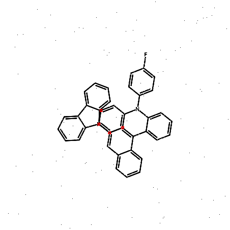 Fc1ccc(N(c2ccccc2)c2ccccc2-c2cc(-n3c4ccccc4c4ccccc43)cc3ccccc23)cc1